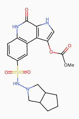 COC(=O)Oc1c[nH]c2c(=O)[nH]c3ccc(S(=O)(=O)NN4CC5CCCC5C4)cc3c12